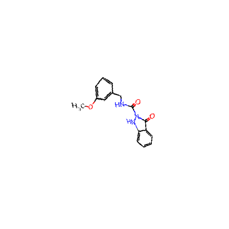 COc1cccc(CNC(=O)n2[nH]c3ccccc3c2=O)c1